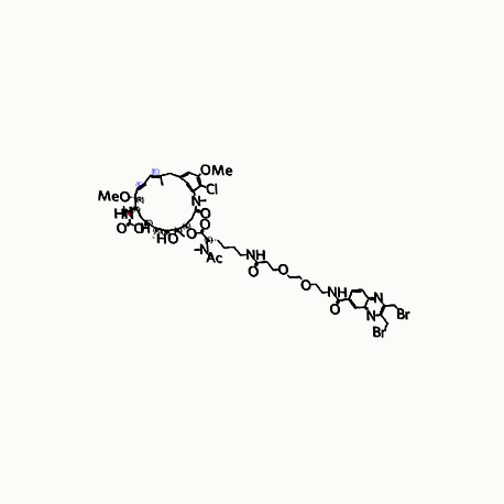 COc1cc2cc(c1Cl)N(C)C(=O)C[C@H](OC(=O)[C@H](CCCCNC(=O)CCOCCOCCNC(=O)c1ccc3nc(CBr)c(CBr)nc3c1)N(C)C(C)=O)[C@]1(C)O[C@H]1[C@H](C)[C@@H]1C[C@@H](NC(=O)O1)[C@H](OC)/C=C/C=C(\C)C2